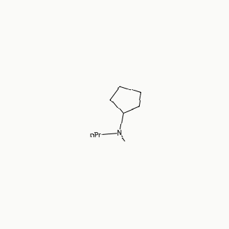 [CH2]CCN(C)C1CCCC1